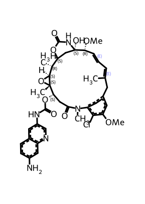 COc1cc2cc(c1Cl)N(C)C(=O)C[C@H](OC(=O)Nc1cnc3cc(N)ccc3c1)[C@]1(C)O[C@H]1[C@H](C)[C@@H]1C[C@@](O)(NC(=O)O1)[C@H](OC)/C=C/C=C(\C)C2